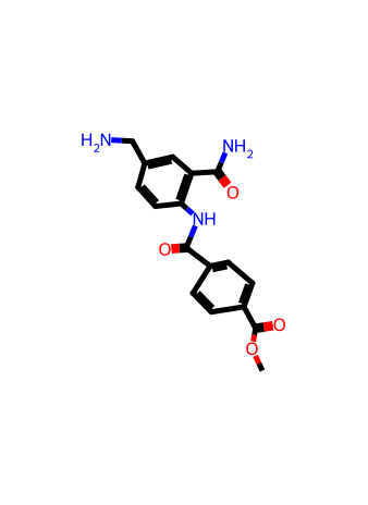 COC(=O)c1ccc(C(=O)Nc2ccc(CN)cc2C(N)=O)cc1